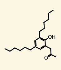 CCCCCCc1cc(CCCCCC)c(O)c(CC(C)=O)c1